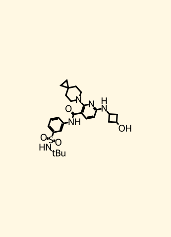 CC(C)(C)NS(=O)(=O)c1cccc(NC(=O)c2ccc(NC3CC(O)C3)nc2N2CCC3(CC2)CC3)c1